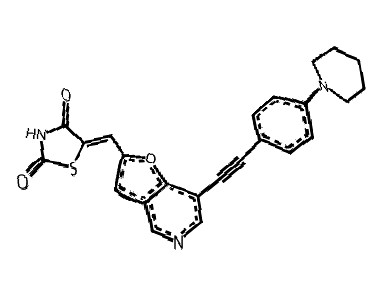 O=C1NC(=O)/C(=C/c2cc3cncc(C#Cc4ccc(N5CCCCC5)cc4)c3o2)S1